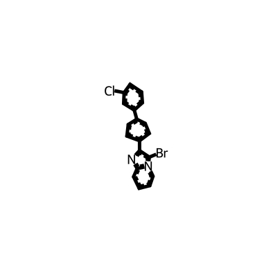 Clc1cccc(-c2ccc(-c3nc4ccccn4c3Br)cc2)c1